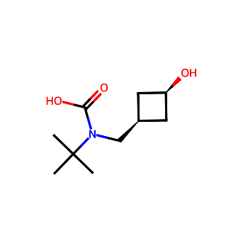 CC(C)(C)N(C[C@H]1C[C@@H](O)C1)C(=O)O